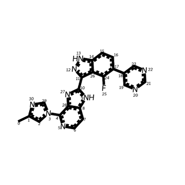 Cc1cn(-c2nccc3[nH]c(-c4n[nH]c5ccc(-c6cncnc6)c(F)c45)nc23)cn1